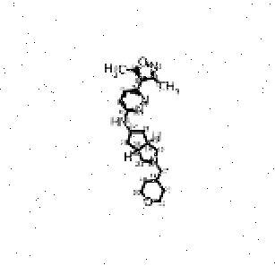 Cc1noc(C)c1-c1ccc(NC2C[C@@H]3CN(CC4CCOCC4)C[C@@H]3C2)nn1